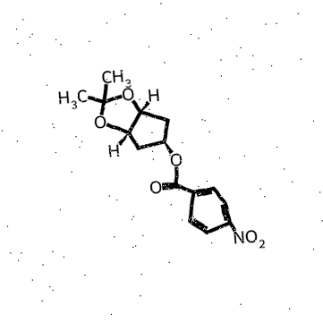 CC1(C)O[C@H]2C[C@H](OC(=O)c3ccc([N+](=O)[O-])cc3)C[C@H]2O1